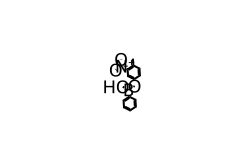 Cc1ccc(OB(O)c2ccccc2)cc1[N+](=O)[O-]